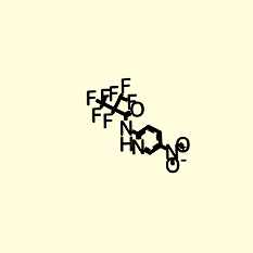 O=C(Nc1ccc([N+](=O)[O-])cn1)C(F)(C(F)(F)F)C(F)(F)F